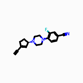 C#CC1=C[C@H](N2CCN(c3ccc(C#N)cc3F)CC2)CC1